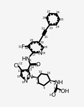 O=C(O)N[C@H]1CC[C@@H](n2ncc(Cl)c2C(=O)Nc2ncc(C#Cc3ccccc3)cc2F)CC1